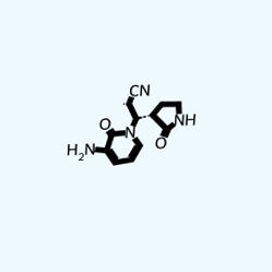 N#C[CH]C([C@@H]1CCNC1=O)n1cccc(N)c1=O